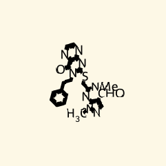 CN/C(CSc1nc2nccnc2c(=O)n1CCc1ccccc1)=N\c1c(C=O)cnn1C